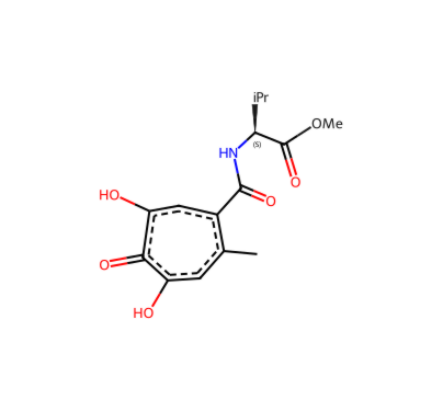 COC(=O)[C@@H](NC(=O)c1cc(O)c(=O)c(O)cc1C)C(C)C